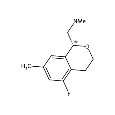 CNC[C@@H]1OCCc2c(F)cc(C)cc21